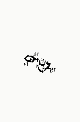 Brc1cnc2c(N[C@@H]3C[C@H]4CC[C@@H]3N4)nccn12